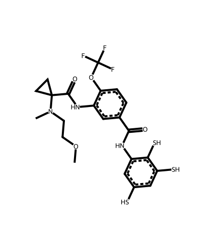 COCCN(C)C1(C(=O)Nc2cc(C(=O)Nc3cc(S)cc(S)c3S)ccc2OC(F)(F)F)CC1